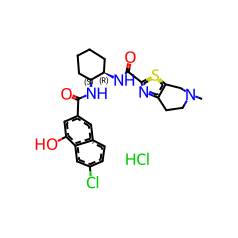 CN1CCc2nc(C(=O)N[C@@H]3CCCC[C@@H]3NC(=O)c3cc(O)c4cc(Cl)ccc4c3)sc2C1.Cl